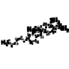 C/C=C\C=C/CC1=CC(C)/C(=C\C(=C/C)C2CCC(CN)[C@@H](N)C2)CC1